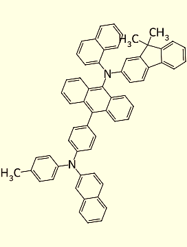 Cc1ccc(N(c2ccc(-c3c4ccccc4c(N(c4ccc5c(c4)C(C)(C)c4ccccc4-5)c4cccc5ccccc45)c4ccccc34)cc2)c2ccc3ccccc3c2)cc1